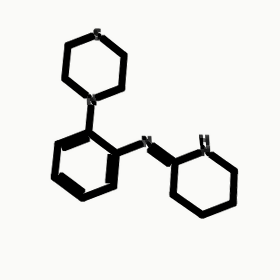 c1ccc(N2CCSCC2)c(N=C2CCCCN2)c1